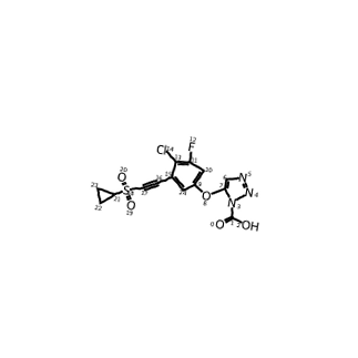 O=C(O)n1nncc1Oc1cc(F)c(Cl)c(C#CS(=O)(=O)C2CC2)c1